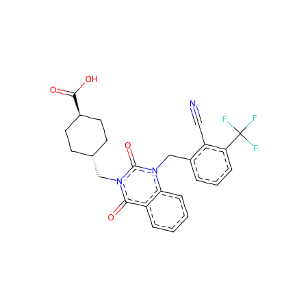 N#Cc1c(Cn2c(=O)n(C[C@H]3CC[C@H](C(=O)O)CC3)c(=O)c3ccccc32)cccc1C(F)(F)F